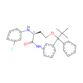 CC(C)(C)[Si](OCC[C@H](Nc1cccc(F)c1)C(N)=O)(c1ccccc1)c1ccccc1